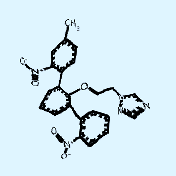 Cc1ccc(-c2cccc(-c3ccccc3[N+](=O)[O-])c2OCCn2cncn2)c([N+](=O)[O-])c1